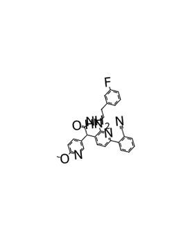 COc1ccc(C(C(N)=O)c2ccc(-c3ccccc3C#N)nc2NCCc2cccc(F)c2)cn1